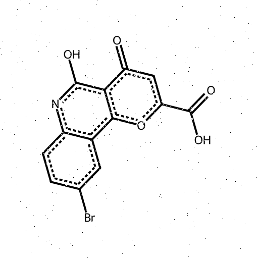 O=C(O)c1cc(=O)c2c(O)nc3ccc(Br)cc3c2o1